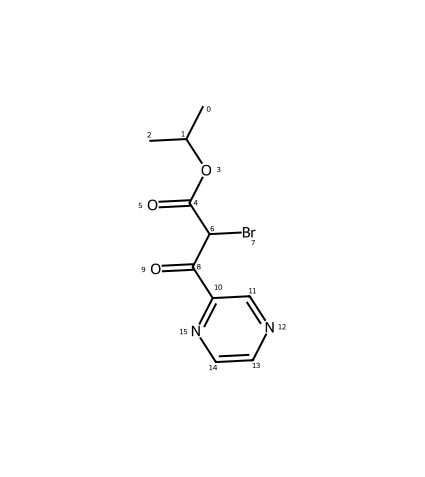 CC(C)OC(=O)C(Br)C(=O)c1cnccn1